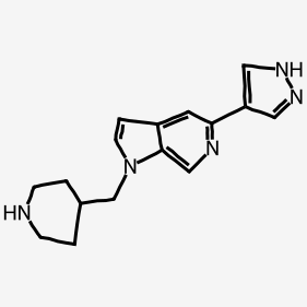 c1n[nH]cc1-c1cc2ccn(CC3CCNCC3)c2cn1